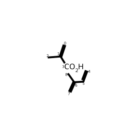 C=C(C)C(=O)O.C=CC(=C)C